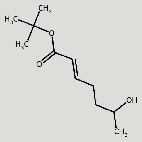 CC(O)CC/C=C/C(=O)OC(C)(C)C